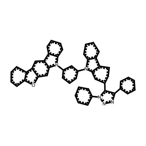 c1ccc(-c2nnn(-c3ccccc3)c2-c2ccc3c4ccccc4n(-c4cccc(-n5c6ccccc6c6cc7c(cc65)oc5ccccc57)c4)c3c2)cc1